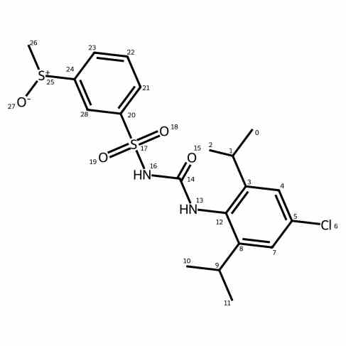 CC(C)c1cc(Cl)cc(C(C)C)c1NC(=O)NS(=O)(=O)c1cccc([S+](C)[O-])c1